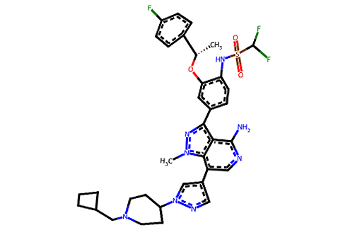 C[C@H](Oc1cc(-c2nn(C)c3c(-c4cnn(C5CCN(CC6CCC6)CC5)c4)cnc(N)c23)ccc1NS(=O)(=O)C(F)F)c1ccc(F)cc1